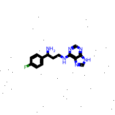 NC(CCNc1ncnc2[nH]cnc12)c1ccc(F)cc1